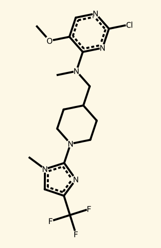 COc1cnc(Cl)nc1N(C)CC1CCN(c2nc(C(F)(F)F)cn2C)CC1